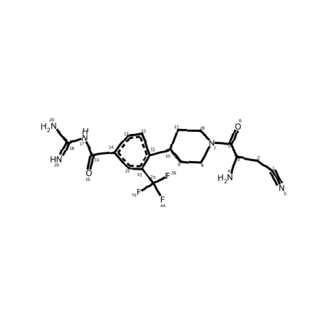 N#CCC(N)C(=O)N1CCC(c2ccc(C(=O)NC(=N)N)cc2C(F)(F)F)CC1